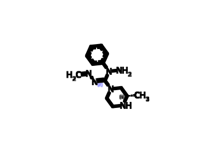 C=N/N=C(/N1CCN[C@@H](C)C1)N(N)c1ccccc1